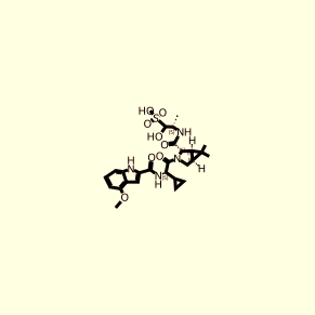 COc1cccc2[nH]c(C(=O)N[C@H](C(=O)N3C[C@H]4[C@@H]([C@H]3C(=O)N[C@@H](C)C(O)S(=O)(=O)O)C4(C)C)C3CC3)cc12